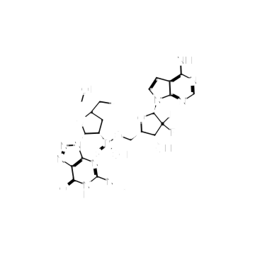 Nc1nc2c(nnn2[C@@H]2O[C@@](CO)(CF)C[C@H]2P(O)(=S)OC[C@H]2O[C@@H](n3ccc4c(N)ncnc43)C(F)(F)[C@@H]2O)c(=O)[nH]1